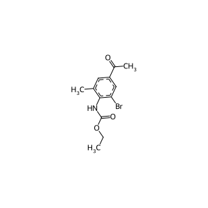 CCOC(=O)Nc1c(C)cc(C(C)=O)cc1Br